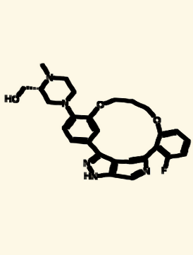 CN1CCN(c2ccc3cc2OCCCOc2cccc(F)c2-c2cc4c-3n[nH]c4cn2)C[C@@H]1CO